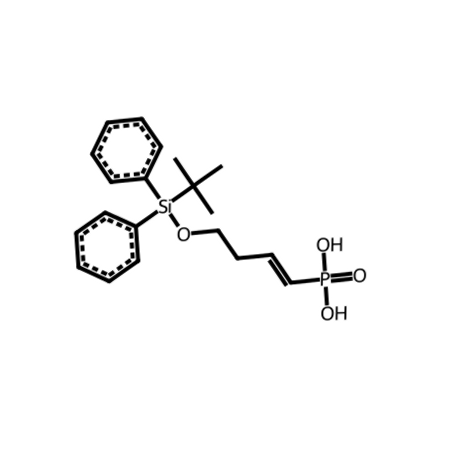 CC(C)(C)[Si](OCC/C=C/P(=O)(O)O)(c1ccccc1)c1ccccc1